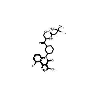 Cc1onc2c1c(=O)n(C1CCCC(C(=O)C(CO)NC(=O)OC(C)(C)C)C1)c1cccc(Cl)c21